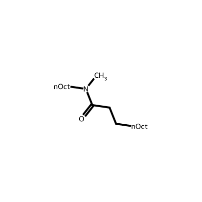 CCCCCCCCCCC(=O)N(C)CCCCCCCC